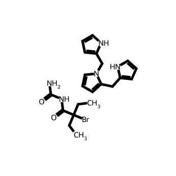 CCC(Br)(CC)C(=O)NC(N)=O.c1c[nH]c(Cc2cccn2Cc2ccc[nH]2)c1